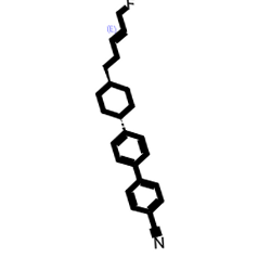 N#Cc1ccc(-c2ccc([C@H]3CC[C@H](CC/C=C/CF)CC3)cc2)cc1